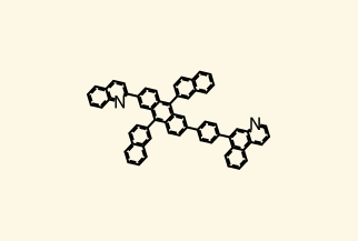 c1ccc2cc(-c3c4ccc(-c5ccc6ccccc6n5)cc4c(-c4ccc5ccccc5c4)c4ccc(-c5ccc(-c6cc7ncccc7c7ccccc67)cc5)cc34)ccc2c1